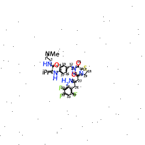 CNCCNC(=O)C(Nc1ccc(CNC(=O)[C@@H]2SCCN2C(=O)CC(N)Cc2cc(F)c(F)cc2F)cc1)C(C)C